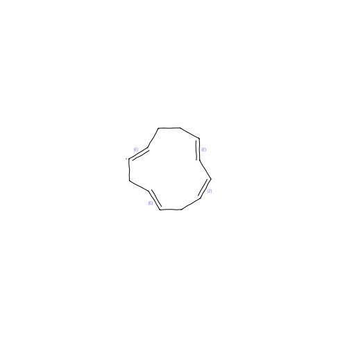 [C]1=C/CC/C=C/C=C\C/C=C/C/1